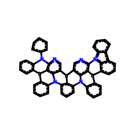 c1ccc(N2c3ccccc3B3c4ccccc4N4c5cccc6c5B(c5cnc2c3c54)c2cnc3c4c2N6c2ccccc2B4c2cccc4c5ccccc5n-3c24)cc1